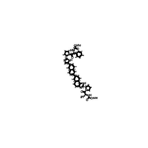 COC(=O)N[C@H](C(=O)N1CCC[C@H]1c1nc2c([nH]1)-c1ccc(-c3cc4ccc(-c5cnc([C@@H]6CCCN6C(=O)[C@H](NC(=O)OC)c6ccccc6)[nH]5)cc4cn3)cc1CC2)C(C)C